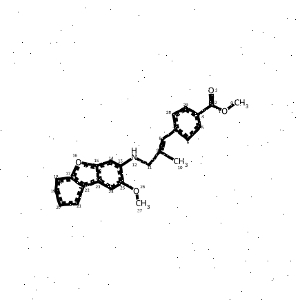 COC(=O)c1ccc(C=C(C)CNc2cc3oc4ccccc4c3cc2OC)cc1